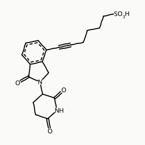 O=C1CCC(N2Cc3c(C#CCCCCS(=O)(=O)O)cccc3C2=O)C(=O)N1